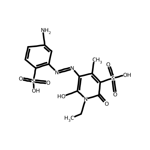 CCn1c(O)c(N=Nc2cc(N)ccc2S(=O)(=O)O)c(C)c(S(=O)(=O)O)c1=O